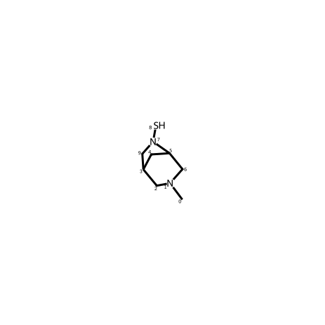 CN1CC2CC(C1)N(S)C2